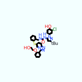 CC(C)(C)c1cc(NC(=O)NCc2ccccc2Sc2ccc3nnc(-c4ccccc4OCCO)n3c2)n(-c2ccc(O)c(Cl)c2)n1